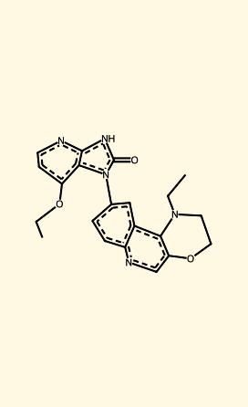 CCOc1ccnc2[nH]c(=O)n(-c3ccc4ncc5c(c4c3)N(CC)CCO5)c12